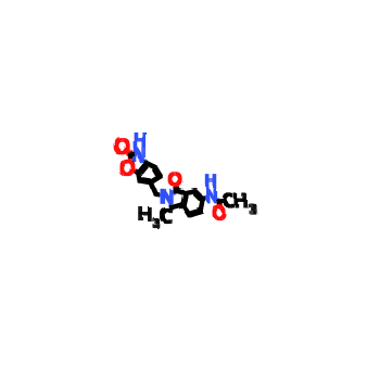 CC(=O)Nc1ccc2c(c1)C(=O)N(Cc1ccc3[nH]c(=O)oc3c1)C2C